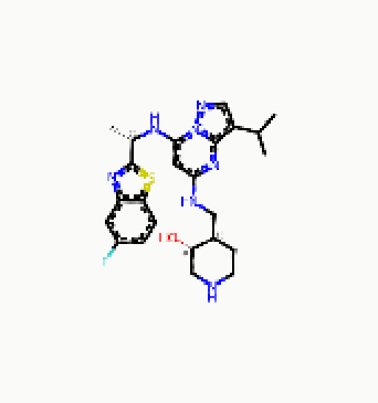 CC(C)c1cnn2c(N[C@@H](C)c3nc4cc(F)ccc4s3)cc(NC[C@H]3CCNC[C@@H]3O)nc12